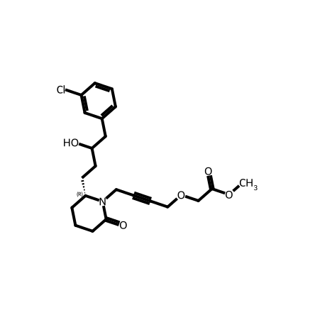 COC(=O)COCC#CCN1C(=O)CCC[C@@H]1CCC(O)Cc1cccc(Cl)c1